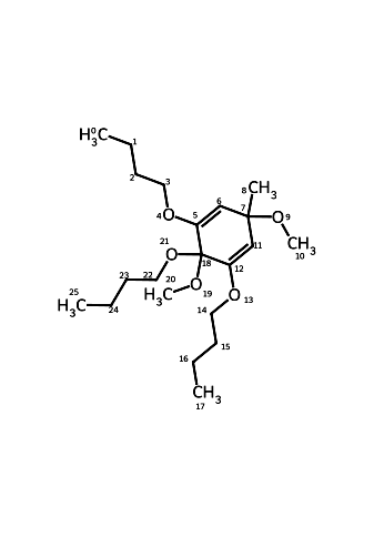 CCCCOC1=CC(C)(OC)C=C(OCCCC)C1(OC)OCCCC